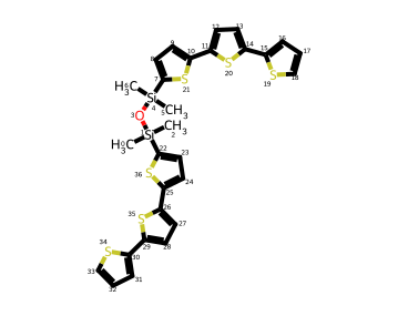 C[Si](C)(O[Si](C)(C)c1ccc(-c2ccc(-c3cccs3)s2)s1)c1ccc(-c2ccc(-c3cccs3)s2)s1